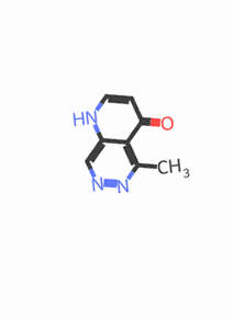 Cc1nncc2[nH]ccc(=O)c12